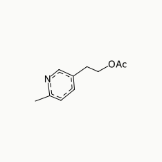 CC(=O)OCCc1ccc(C)nc1